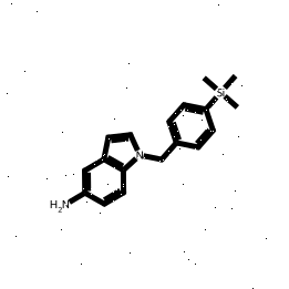 C[Si](C)(C)c1ccc(Cn2ccc3cc(N)ccc32)cc1